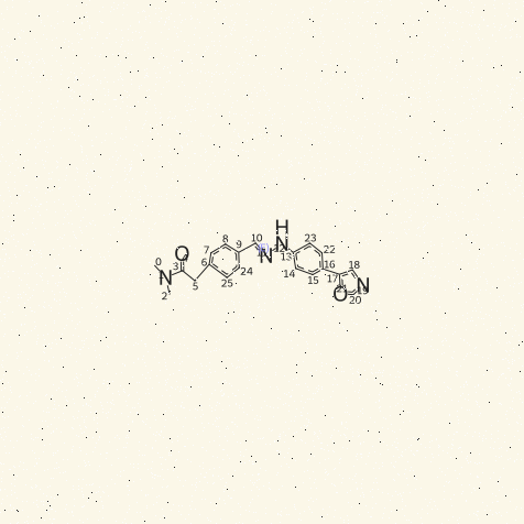 CN(C)C(=O)Cc1ccc(/C=N/Nc2ccc(-c3cnco3)cc2)cc1